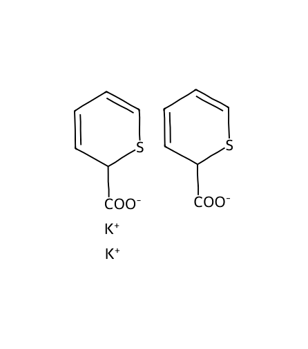 O=C([O-])C1C=CC=CS1.O=C([O-])C1C=CC=CS1.[K+].[K+]